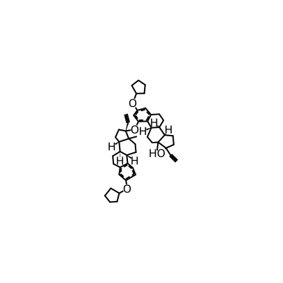 C#C[C@]1(O)CC[C@H]2[C@@H]3CCc4cc(OC5CCCC5)cc(O[C@@]5(C#C)CC[C@H]6[C@@H]7CCc8cc(OC9CCCC9)ccc8[C@H]7CCC65C)c4[C@H]3CCC21C